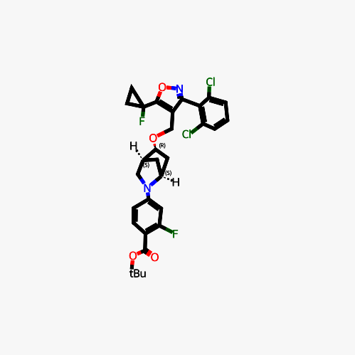 CC(C)(C)OC(=O)c1ccc(N2C[C@@H]3C[C@H]2C[C@H]3OCc2c(-c3c(Cl)cccc3Cl)noc2C2(F)CC2)cc1F